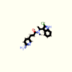 CC(c1c(Cl)[nH]c2ccccc12)N(C)C(=O)C=Cc1ccc(N)nc1